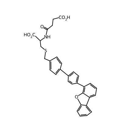 O=C(O)CCC(=O)NC(CSCc1ccc(-c2ccc(-c3cccc4c3oc3ccccc34)cc2)cc1)C(=O)O